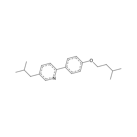 CC(C)CCOc1ccc(-c2ccc(CC(C)C)cn2)cc1